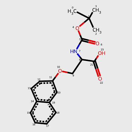 CC(C)(C)OC(=O)NC(COc1ccc2ccccc2c1)C(=O)O